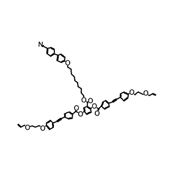 C=CCOCCCOc1ccc(C#Cc2ccc(C(=O)Oc3ccc(OC(=O)c4ccc(C#Cc5ccc(OCCCOCC=C)cc5)cc4)c(C(=O)OCCCCCCCCCCOc4ccc(-c5ccc(C#N)cc5)cc4)c3)cc2)cc1